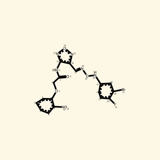 O=C(COc1ccccc1[N+](=O)[O-])Nc1nonc1/C=N/ONc1ccc(F)c(Br)c1